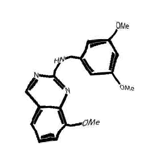 COc1cc(Nc2ncc3cccc(OC)c3n2)cc(OC)c1